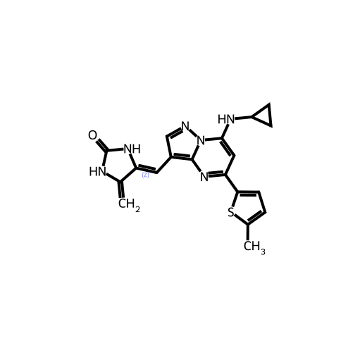 C=c1[nH]c(=O)[nH]/c1=C\c1cnn2c(NC3CC3)cc(-c3ccc(C)s3)nc12